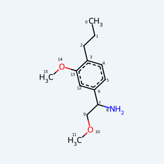 CCCc1ccc(C(N)COC)cc1OC